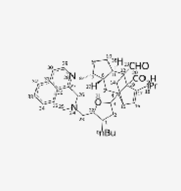 CCCCC1CC(C23C[C@@H]4[C@H](C)CC[C@H]4C4(C=O)CC2C=C(C(C)C)C34C(=O)O)OC1CN(C)Cc1nccc2ccccc12